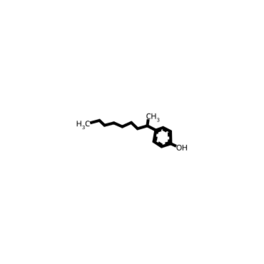 CCCCCCCC(C)c1ccc(O)cc1